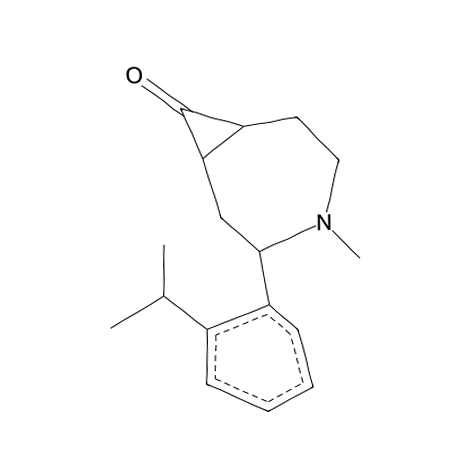 CC(C)c1ccccc1C1CC2C(=O)C2CCN1C